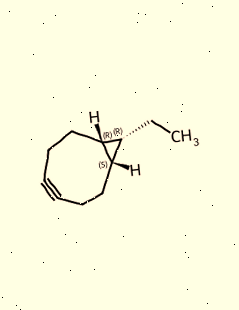 CC[C@H]1[C@H]2CCC#CCC[C@@H]12